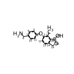 Cc1c(Oc2ccc(CN)cc2)ccc2c1B(O)OC2